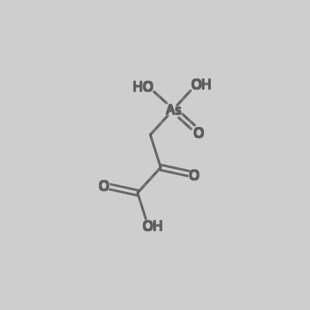 O=C(O)C(=O)C[As](=O)(O)O